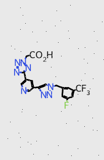 O=C(O)Cn1nnc(-c2cncc(-c3cn(Cc4cc(F)cc(C(F)(F)F)c4)nn3)c2)n1